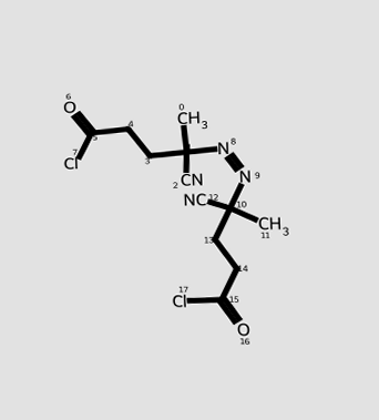 CC(C#N)(CCC(=O)Cl)/N=N\C(C)(C#N)CCC(=O)Cl